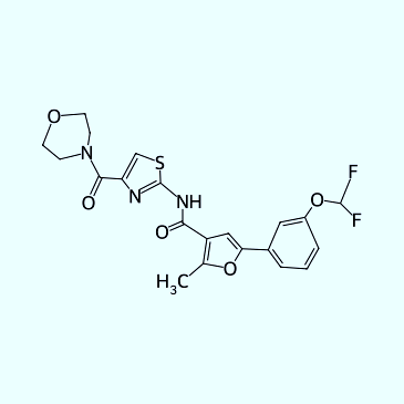 Cc1oc(-c2cccc(OC(F)F)c2)cc1C(=O)Nc1nc(C(=O)N2CCOCC2)cs1